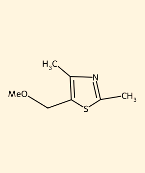 COCc1sc(C)nc1C